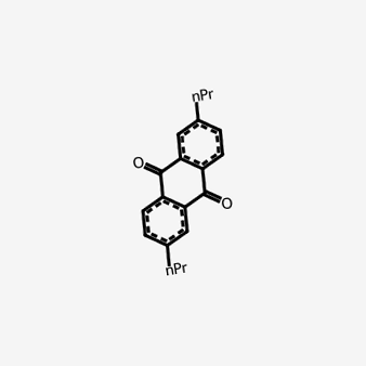 CCCc1ccc2c(c1)C(=O)c1ccc(CCC)cc1C2=O